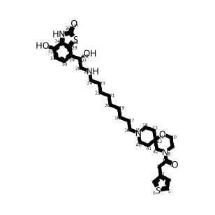 O=C(Cc1ccsc1)N1CCOC2(CCN(CCCCCCCCCNC[C@H](O)c3ccc(O)c4[nH]c(=O)sc34)CC2)C1